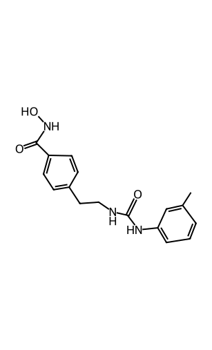 Cc1cccc(NC(=O)NCCc2ccc(C(=O)NO)cc2)c1